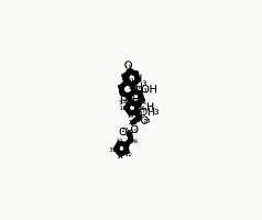 C[C@]12CCC(=O)C=C1CC[C@@H]1[C@@H]2[C@@H](O)C[C@@]2(C)[C@H]1CC[C@]2(O)C(=O)COC(=O)CC1CCCC1